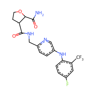 NC(=O)C1OCC[C]1C(=O)NCc1ccc(Nc2ccc(F)cc2C(F)(F)F)cn1